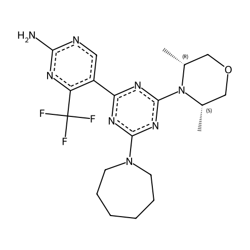 C[C@@H]1COC[C@H](C)N1c1nc(-c2cnc(N)nc2C(F)(F)F)nc(N2CCCCCC2)n1